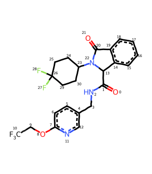 O=C(NCc1ccc(OCC(F)(F)F)nc1)C1c2ccccc2C(=O)N1C1CCC(F)(F)CC1